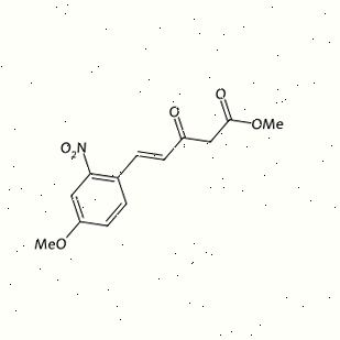 COC(=O)CC(=O)C=Cc1ccc(OC)cc1[N+](=O)[O-]